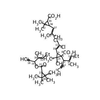 C#CC(C(C)=CCC)C1(C(=O)O)C(C=C(Cl)Cl)C1(C)C.C#CC(OC(=O)C1C(C)(C)C1(C)C)C(C)=CCC.CC(C)=CC1C(C(=O)O)C1(C)C